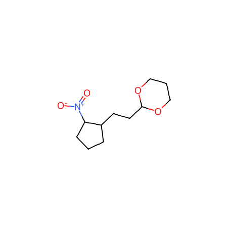 O=[N+]([O-])C1CCCC1CCC1OCCCO1